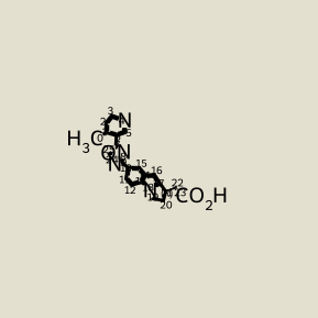 Cc1ccncc1-c1nc(-c2ccc3c(c2)cc2n3CC[C@@H]2CC(=O)O)no1